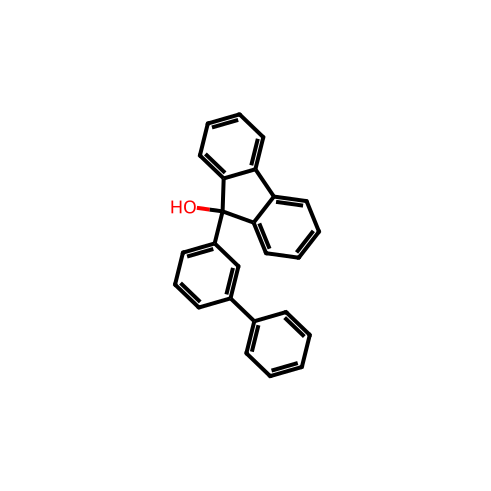 OC1(c2cccc(-c3ccccc3)c2)c2ccccc2-c2ccccc21